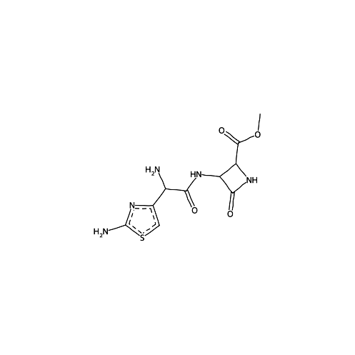 COC(=O)C1NC(=O)C1NC(=O)C(N)c1csc(N)n1